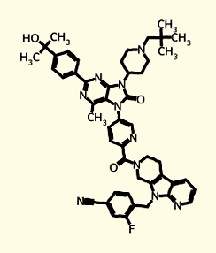 Cc1nc(-c2ccc(C(C)(C)O)cc2)nc2c1n(-c1ccc(C(=O)N3CCc4c(n(Cc5ccc(C#N)cc5F)c5ncccc45)C3)nc1)c(=O)n2C1CCN(CC(C)(C)C)CC1